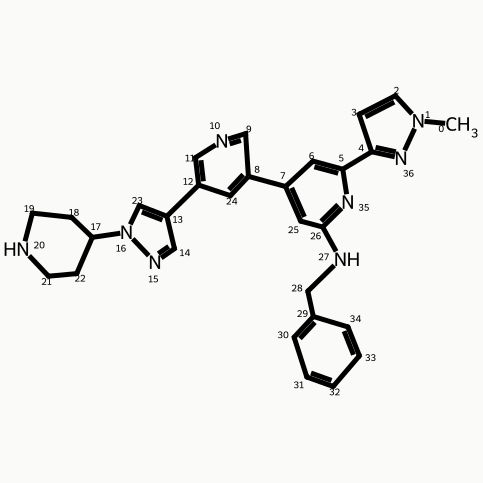 Cn1ccc(-c2cc(-c3cncc(-c4cnn(C5CCNCC5)c4)c3)cc(NCc3ccccc3)n2)n1